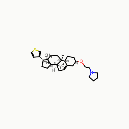 C[C@]12CC[C@H]3[C@@H](CC=C4C[C@@H](OCCN5CCCC5)CC[C@@]43C)[C@H]1CC[C@@H]2c1ccsc1